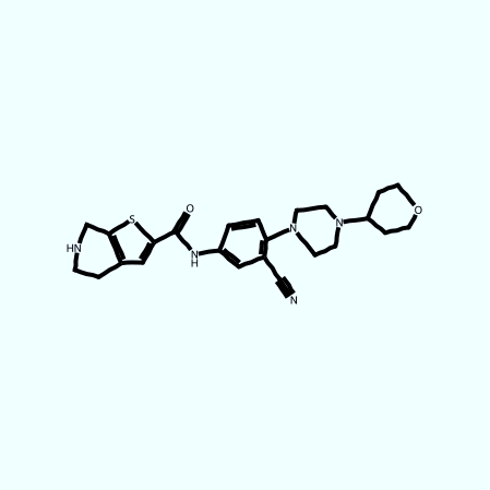 N#Cc1cc(NC(=O)c2cc3c(s2)CNCC3)ccc1N1CCN(C2CCOCC2)CC1